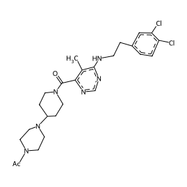 CC(=O)N1CCN(C2CCN(C(=O)c3ncnc(NCCc4ccc(Cl)c(Cl)c4)c3C)CC2)CC1